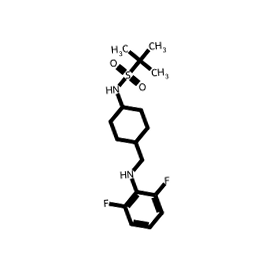 CC(C)(C)S(=O)(=O)NC1CCC(CNc2c(F)cccc2F)CC1